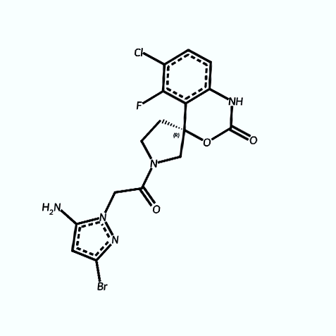 Nc1cc(Br)nn1CC(=O)N1CC[C@@]2(C1)OC(=O)Nc1ccc(Cl)c(F)c12